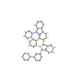 c1ccc(-c2cccc(-c3oc(-c4ccc5c6ccccc6n(-c6ccccc6)c5c4-c4ccccc4)c4ccccc34)c2)cc1